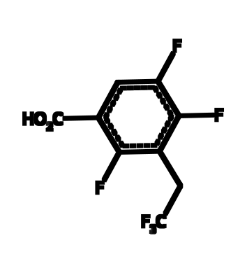 O=C(O)c1cc(F)c(F)c(CC(F)(F)F)c1F